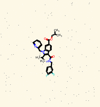 CC(C)COC(=O)c1ccc2c(C(=O)NCc3ccc(F)c(F)c3)c(C(C)C)n(Cc3ccccn3)c2c1